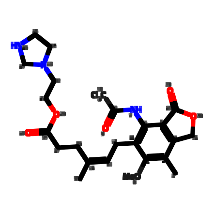 COc1c(C)c2c(c(NC(=O)C(Cl)(Cl)Cl)c1CC=C(C)CCC(=O)OCCN1CCNC1)C(=O)OC2